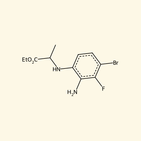 CCOC(=O)C(C)Nc1ccc(Br)c(F)c1N